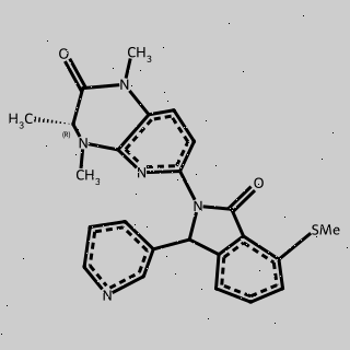 CSc1cccc2c1C(=O)N(c1ccc3c(n1)N(C)[C@H](C)C(=O)N3C)C2c1cccnc1